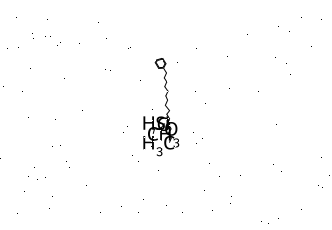 CCCO[SiH](CCCCCCCCCCCc1ccccc1)OCCC